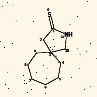 S=C1CC2(CCCCCC2)CN1